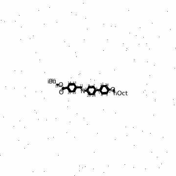 CCCCCCCCOc1ccc(-c2ccc(N=Cc3ccc(C(=O)OC[C@@H](C)CC)cc3)cc2)cc1